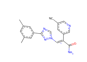 Cc1cc(C)cc(-c2ncn(/C=C(/C(N)=O)c3cncc(C#N)c3)n2)c1